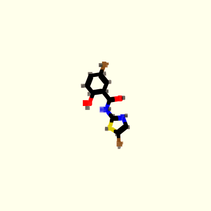 O=C(Nc1ncc(Br)s1)c1cc(Br)ccc1O